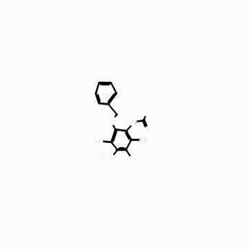 CCC(=O)Nc1c(N)c(C)c(C)c(Br)c1OCc1ccccc1